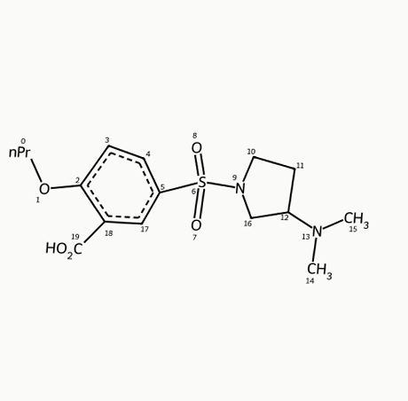 CCCOc1ccc(S(=O)(=O)N2CCC(N(C)C)C2)cc1C(=O)O